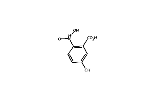 O=C(O)c1cc(O)ccc1[NH+]([O-])O